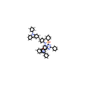 O=P1(c2nc(-c3ccccc3)nc(-c3ccccc3)n2)c2ccccc2-c2cc(-c3ccc4c(c3)c3ccccc3n4-c3ccccc3)ccc2N1c1ccc2c(c1)c1ccccc1n2-c1ccccc1